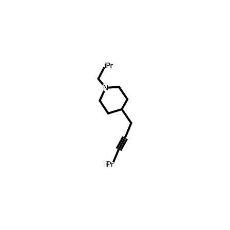 CC(C)C#CCC1CCN(CC(C)C)CC1